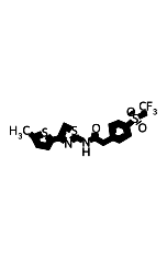 Cc1ccc(-c2csc(NC(=O)Cc3ccc(S(=O)(=O)CC(F)(F)F)cc3)n2)s1